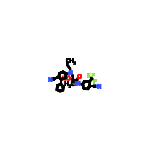 CCCN(C[C@](C)(O)C(=O)Nc1ccc(C#N)c(C(F)(F)F)c1)c1ccc(C#N)c(-c2ccccc2)c1